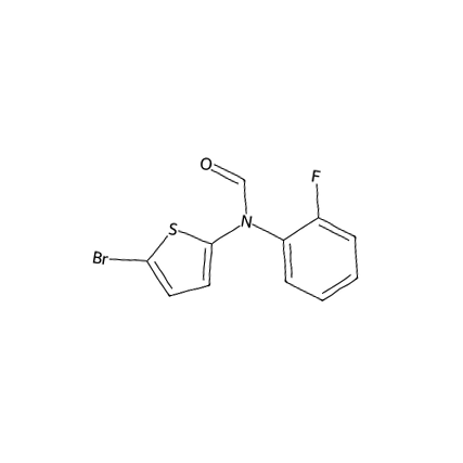 O=CN(c1ccc(Br)s1)c1ccccc1F